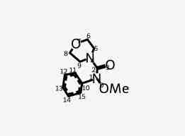 CON(C(=O)N1CCOCC1)c1ccccc1